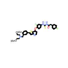 COCCN(CCOC)Cc1cccc(-c2cc3nccc(Oc4ccc(NC(=S)NC(=O)Cc5ccc(F)cc5)cc4F)c3s2)c1